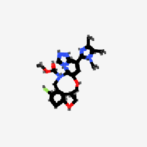 Cc1nc(-c2cc3c(n4cnnc24)N(C(=O)OC(C)(C)C)Cc2c(F)ccc4c2[C@H](CO4)CO3)n(C)c1C